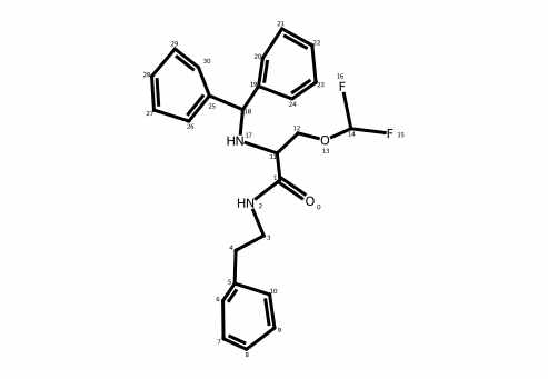 O=C(NCCc1ccccc1)C(COC(F)F)NC(c1ccccc1)c1ccccc1